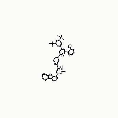 COc1ccccc1-c1cc(-c2cc(C(C)(C)C)cc(C(C)(C)C)c2)cc(-c2cccc(-c3cc(-c4cccc5c4sc4ccccc45)cc(C)n3)c2)n1